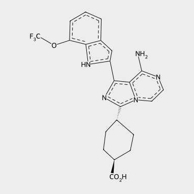 Nc1nccn2c1c(-c1cc3cccc(OC(F)(F)F)c3[nH]1)nc2[C@H]1CC[C@H](C(=O)O)CC1